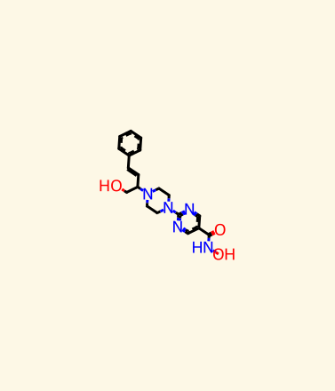 O=C(NO)c1cnc(N2CCN(C(/C=C/c3ccccc3)CO)CC2)nc1